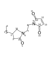 CSC1CC(=O)N(CCN2C(=O)C=CC2=O)C1